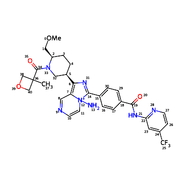 COC[C@H]1CC[C@@H](C2=C3C=NC=C[N+]3(N)C(c3ccc(C(=O)Nc4cc(C(F)(F)F)ccn4)cc3)=N2)CN1C(=O)C1(C)COC1